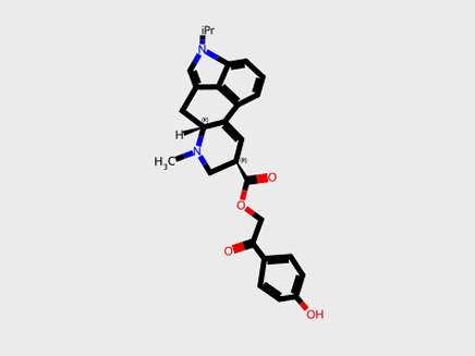 CC(C)n1cc2c3c(cccc31)C1=C[C@@H](C(=O)OCC(=O)c3ccc(O)cc3)CN(C)[C@@H]1C2